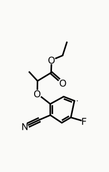 CCOC(=O)C(C)Oc1c[c]c(F)cc1C#N